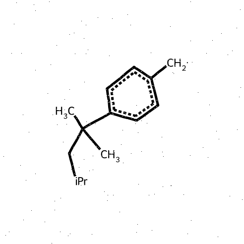 [CH2]c1ccc(C(C)(C)CC(C)C)cc1